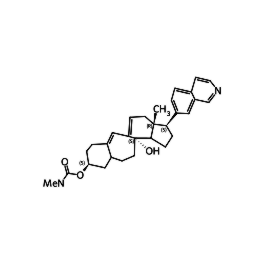 CNC(=O)O[C@H]1CCC2=CC3=CC[C@@]4(C)C(CC[C@@H]4c4ccc5ccncc5c4)[C@@]3(O)CCC2C1